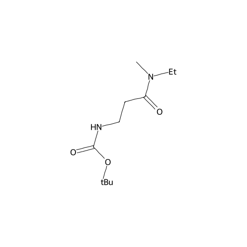 CCN(C)C(=O)CCNC(=O)OC(C)(C)C